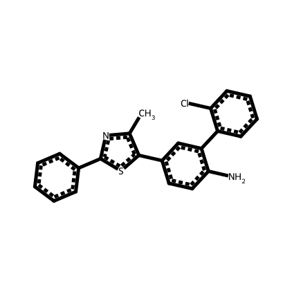 Cc1nc(-c2ccccc2)sc1-c1ccc(N)c(-c2ccccc2Cl)c1